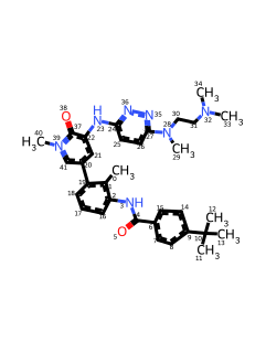 Cc1c(NC(=O)c2ccc(C(C)(C)C)cc2)cccc1-c1cc(Nc2ccc(N(C)CCN(C)C)nn2)c(=O)n(C)c1